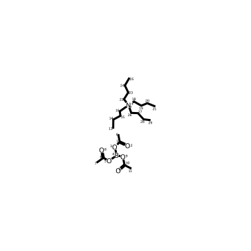 CC(=O)OB(OC(C)=O)OC(C)=O.CCCC[N+](CCCC)(CCCC)CCCC